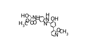 COC(=O)C(CO)NC(=O)c1ccc2[nH]c(-c3cc(-c4cccnc4OC)ccc3O)nc2c1